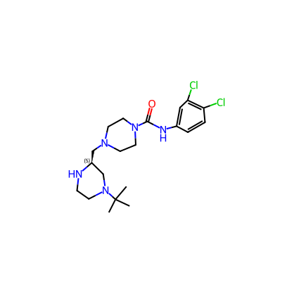 CC(C)(C)N1CCN[C@@H](CN2CCN(C(=O)Nc3ccc(Cl)c(Cl)c3)CC2)C1